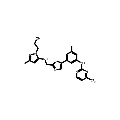 Cc1cc(Nc2nccc(C(F)(F)F)n2)cc(-c2cnc(CNc3cc(C)nn3CCO)s2)c1